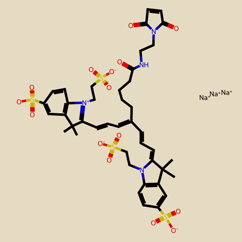 CC1(C)C(=CC=CC(=CC=CC2=[N+](CCS(=O)(=O)[O-])c3ccc(S(=O)(=O)[O-])cc3C2(C)C)CCCCC(=O)NCCN2C(=O)C=CC2=O)N(CCS(=O)(=O)[O-])c2ccc(S(=O)(=O)[O-])cc21.[Na+].[Na+].[Na+]